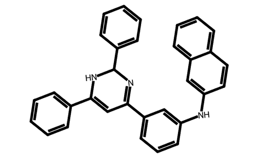 C1=C(c2ccccc2)NC(c2ccccc2)N=C1c1cccc(Nc2ccc3ccccc3c2)c1